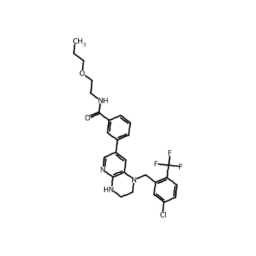 CCCOCCNC(=O)c1cccc(-c2cnc3c(c2)N(Cc2cc(Cl)ccc2C(F)(F)F)CCN3)c1